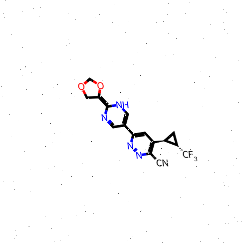 N#Cc1nnc(C2=CNC(=C3COCO3)N=C2)cc1[C@H]1C[C@@H]1C(F)(F)F